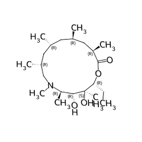 CC[C@H]1OC(=O)[C@H](C)C[C@H](C)C[C@@H](C)C[C@@H](C)CN(C)[C@H](C)[C@@H](O)[C@]1(C)O